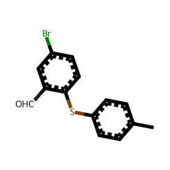 Cc1ccc(Sc2ccc(Br)cc2C=O)cc1